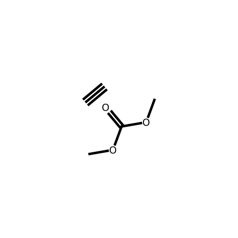 C#C.COC(=O)OC